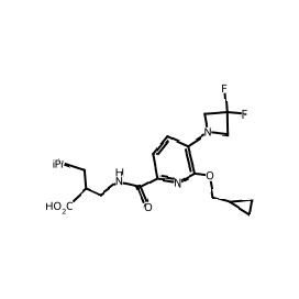 CC(C)CC(CNC(=O)c1ccc(N2CC(F)(F)C2)c(OCC2CC2)n1)C(=O)O